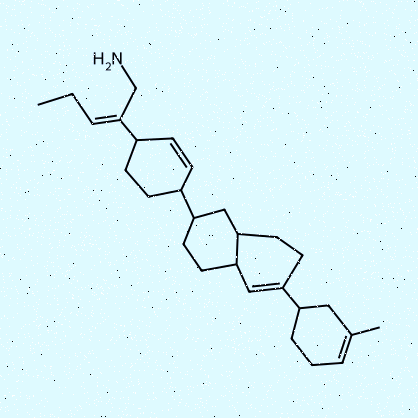 CC/C=C(\CN)C1C=CC(C2CCC3C=C(C4CCC=C(C)C4)CCC3C2)CC1